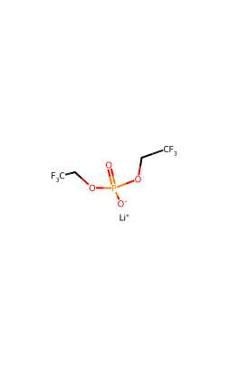 O=P([O-])(OCC(F)(F)F)OCC(F)(F)F.[Li+]